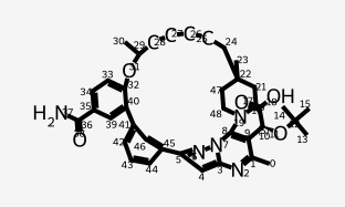 Cc1nc2cc3nn2c(c1[C@H](OC(C)(C)C)C(=O)O)N1CCC(C)(CCCCCC(C)Oc2ccc(C(N)=O)cc2-c2cccc-3c2)CC1